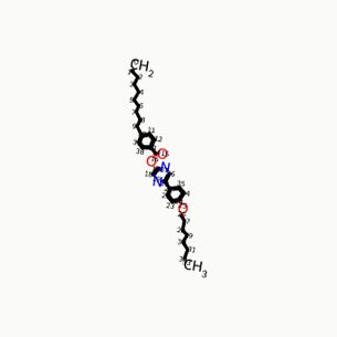 C=CCCCCCCCCc1ccc(C(=O)Oc2cnc(-c3ccc(OCCCCCCCC)cc3)cn2)cc1